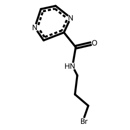 O=C(NCCCBr)c1cnccn1